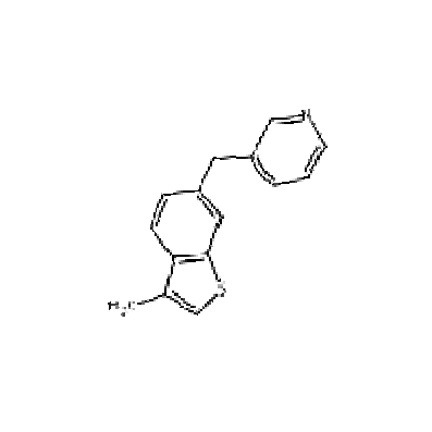 Cc1csc2cc(Cc3cccnc3)ccc12